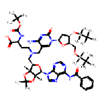 CC(C)(C)OC(=O)NC(CCN(Cc1cn([C@H]2C[C@H](O[Si](C)(C)C(C)(C)C)[C@@H](CO[Si](C)(C)C(C)(C)C)O2)c(=O)nc1N)C[C@H]1O[C@@H](n2cnc3c(NC(=O)c4ccccc4)ncnc32)[C@@H]2OC(C)(C)O[C@@H]21)C(=O)O